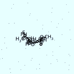 CCCOC(=O)[C@H](C)NP(=O)(Cc1ccc2sc(C(=O)N[C@H]3CCC[C@H]4CC[C@@H](C(=O)N5CC(c6cnc(C(F)F)cc6OC)C5)N4C3=O)cc2c1)Oc1ccccc1